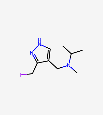 CC(C)N(C)Cc1c[nH]nc1CI